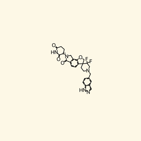 O=C1CC[C@H](N2Cc3c(ccc4c3OCC43CCN(Cc4ccc5[nH]ncc5c4)CC3(F)F)C2=O)C(=O)N1